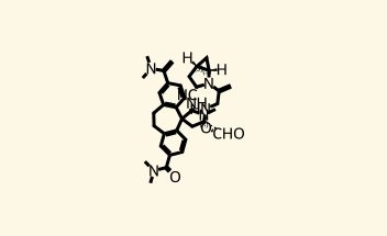 C=C(c1ccc2c(c1)CCc1cc(C(=O)N(C)C)ccc1C2(C[C@@H](C)NCC(=C)N1C(C#N)C[C@@H]2C[C@@H]21)C(=N)N(C)OC=O)N(C)C